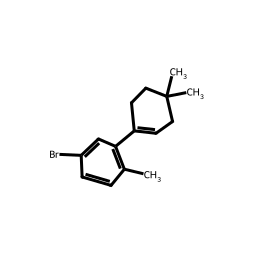 Cc1ccc(Br)cc1C1=CCC(C)(C)CC1